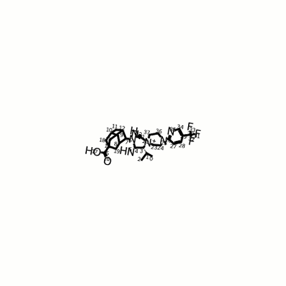 CC(C)[C@H](C(=N)NC1C2CC3CC1CC(C(=O)O)(C3)C2)[N+]1(C#N)CCN(c2ccc(C(F)(F)F)cn2)CC1